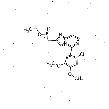 CCOC(=O)Cc1cn2c(-c3cc(OC)c(OC)cc3Cl)nccc2n1